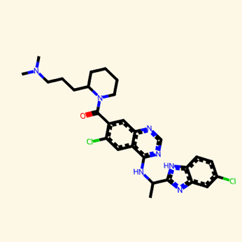 CC(Nc1ncnc2cc(C(=O)N3CCCCC3CCCN(C)C)c(Cl)cc12)c1nc2cc(Cl)ccc2[nH]1